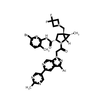 CC(=O)c1nn(CC(=O)N2[C@H]3[C@@H](C)[C@@]3(CN3CC(F)(F)C3)C[C@H]2C(=O)Nc2nc(Br)ccc2C)c2cnc(-c3cnc(C)nc3)cc12